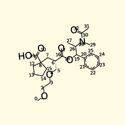 COCCOC[C@H](CC1(C(=O)O)CCCC1)C(=O)OC(c1ccccc1)C(C)N(C)C(C)=O